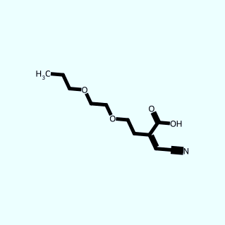 CCCOCCOCCC(=CC#N)C(=O)O